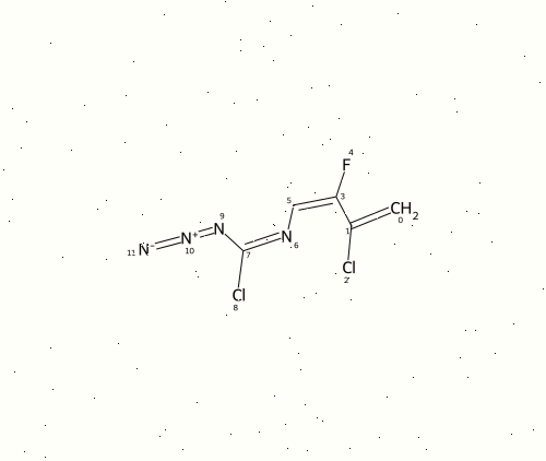 C=C(Cl)/C(F)=C\N=C(\Cl)N=[N+]=[N-]